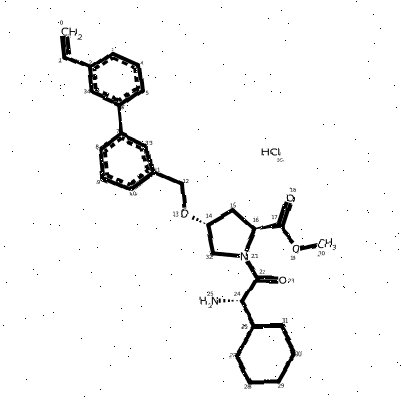 C=Cc1cccc(-c2cccc(CO[C@@H]3C[C@@H](C(=O)OC)N(C(=O)[C@@H](N)C4CCCCC4)C3)c2)c1.Cl